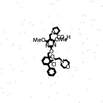 COc1nc(OCC2(OCCN3CCOCC3)C=CC=C(c3ccccc3)C2(C)Cl)nc(OC)c1CN1CCC[C@H]1C(=O)O